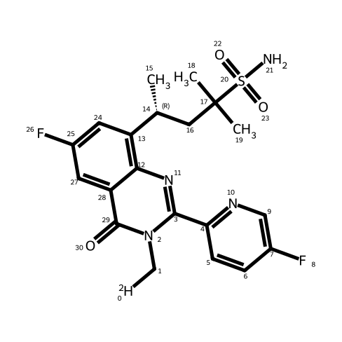 [2H]Cn1c(-c2ccc(F)cn2)nc2c([C@H](C)CC(C)(C)S(N)(=O)=O)cc(F)cc2c1=O